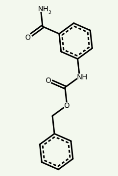 NC(=O)c1cccc(NC(=O)OCc2ccccc2)c1